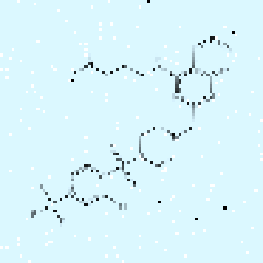 CN(C)CCCNc1nc(CN2CCN(S(=O)(=O)c3ccc(C(F)(F)F)cc3Cl)CC2)nc2ccccc12